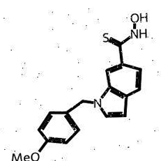 COc1ccc(Cn2ccc3ccc(C(=S)NO)cc32)cc1